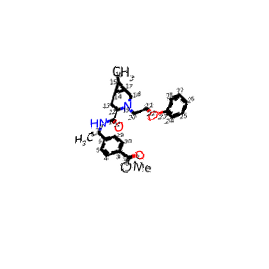 COC(=O)c1ccc([C@H](C)NC(=O)[C@H]2CC3C(C)C3CN2CCOc2ccccc2)cc1